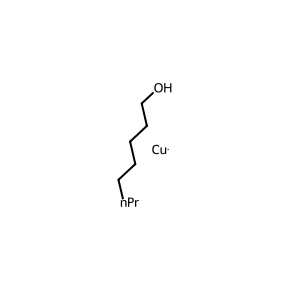 CCCCCCCCO.[Cu]